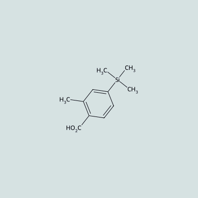 Cc1cc([Si](C)(C)C)ccc1C(=O)O